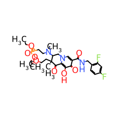 CCOP(=O)(CCN(C)C1Cn2cc(C(=O)NCc3ccc(F)cc3F)c(=O)c(O)c2C(=O)C1(C)CCOC)OCC